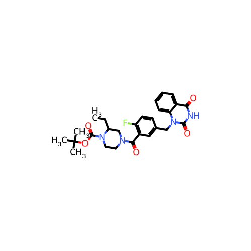 CCC1CN(C(=O)c2cc(Cn3c(=O)[nH]c(=O)c4ccccc43)ccc2F)CCN1C(=O)OC(C)(C)C